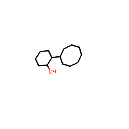 O[C]1CCCCC1C1CCCCCCC1